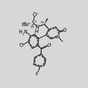 C[C@H](N[S@@+]([O-])C(C)(C)C)c1cc(=O)n(C)cc1-c1cc(N)c(Cl)cc1C(=O)c1ccc(F)cc1